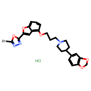 CC(C)c1nnc(-c2cc3c(OCCCN4CCC(c5ccc6c(c5)OCO6)CC4)cccc3o2)o1.Cl